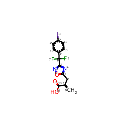 C=C(Cc1nc(C(F)(F)c2ccc(I)cc2)no1)C(=O)O